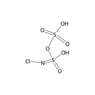 O=S(=O)(O)OS(=O)(O)=NCl